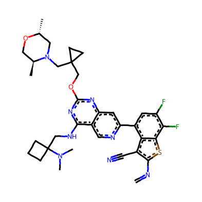 C=Nc1sc2c(F)c(F)cc(-c3cc4nc(OCC5(CN6C[C@@H](C)OC[C@@H]6C)CC5)nc(NCC5(N(C)C)CCC5)c4cn3)c2c1C#N